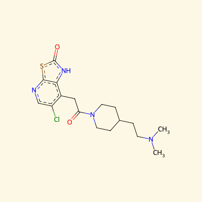 CN(C)CCC1CCN(C(=O)Cc2c(Cl)cnc3sc(=O)[nH]c23)CC1